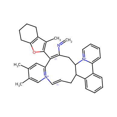 C=N/C1=C(\c2oc3c(c2C)CCCC3)c2cc(C)c(C)c[n+]2/C=C/CC2c3ccccc3-c3cccc[n+]3C2C1